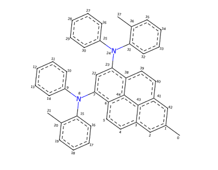 Cc1cc2ccc3c(N(c4ccccc4)c4ccccc4C)cc(N(c4ccccc4)c4ccccc4C)c4ccc(c1)c2c34